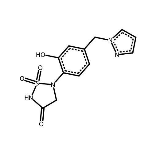 O=C1CN(c2ccc(Cn3cccn3)cc2O)S(=O)(=O)N1